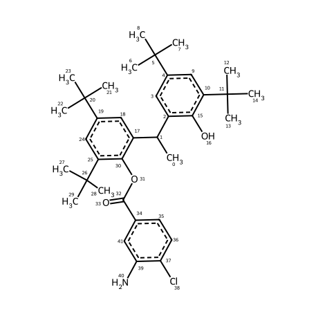 CC(c1cc(C(C)(C)C)cc(C(C)(C)C)c1O)c1cc(C(C)(C)C)cc(C(C)(C)C)c1OC(=O)c1ccc(Cl)c(N)c1